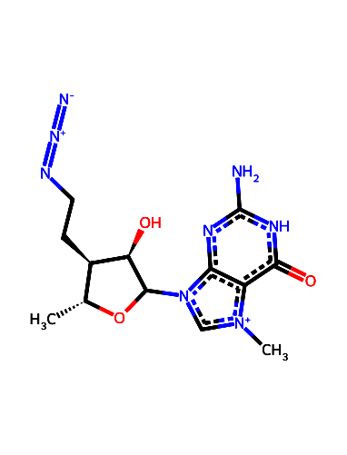 C[C@H]1OC(n2c[n+](C)c3c(=O)[nH]c(N)nc32)[C@H](O)[C@@H]1CCN=[N+]=[N-]